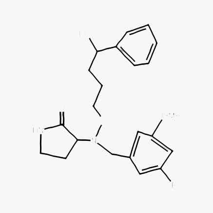 COc1cc(Br)cc(CN(OCCCC(C)c2ccccc2)C2CCNC2=O)c1